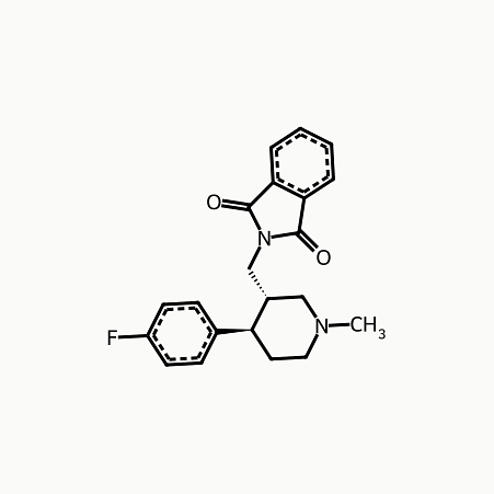 CN1CC[C@@H](c2ccc(F)cc2)[C@H](CN2C(=O)c3ccccc3C2=O)C1